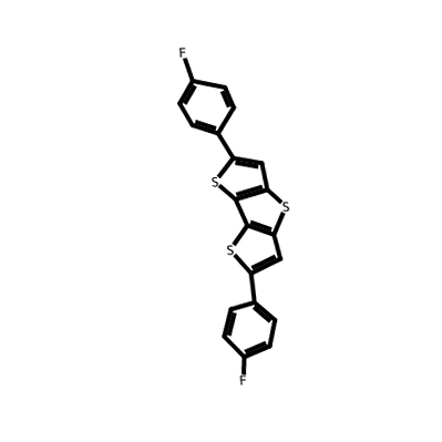 Fc1ccc(-c2cc3sc4cc(-c5ccc(F)cc5)sc4c3s2)cc1